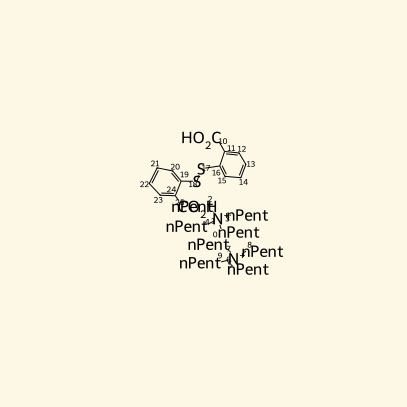 CCCCC[N+](CCCCC)(CCCCC)CCCCC.CCCCC[N+](CCCCC)(CCCCC)CCCCC.O=C(O)c1ccccc1SSc1ccccc1C(=O)O